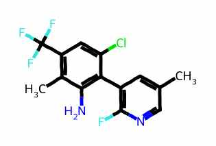 Cc1cnc(F)c(-c2c(Cl)cc(C(F)(F)F)c(C)c2N)c1